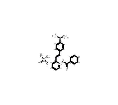 CN(C)c1ccc(/C=C/c2cccc[n+]2OC(=O)c2ccccc2)cc1.[O-][Cl+3]([O-])([O-])[O-]